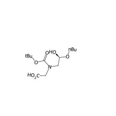 CCCCO[C@H](O)CN(CC(=O)O)C(=O)OC(C)(C)C